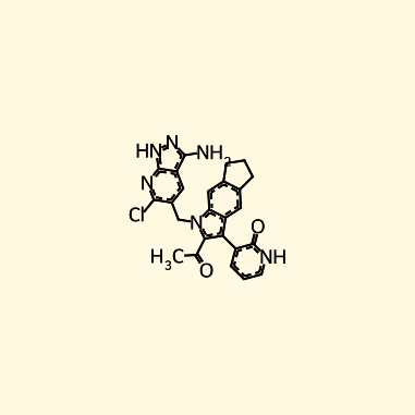 CC(=O)c1c(-c2ccc[nH]c2=O)c2cc3c(cc2n1Cc1cc2c(N)n[nH]c2nc1Cl)CCC3